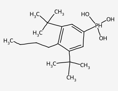 CCCCc1c(C(C)(C)C)cc([PH](O)(O)O)cc1C(C)(C)C